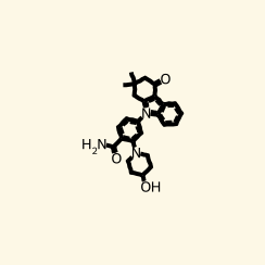 CC1(C)CC(=O)c2c(n(-c3ccc(C(N)=O)c(N4CCC(O)CC4)c3)c3ccccc23)C1